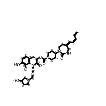 C=C/C=C\C=C1\CCN(C2CCN(C(=O)O[C@H](Cc3ccc(O)c(Br)c3)C(=O)N=C=C=CN3CCC(O)C3)CC2)C(=O)NC1